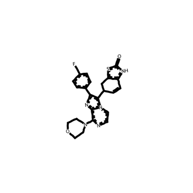 O=c1[nH]c2c(s1)CC(c1c(-c3ccc(F)cc3)nc3c(N4CCOCC4)nccn13)C=C2